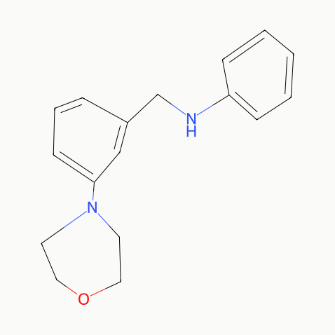 c1ccc(NCc2cccc(N3CCOCC3)c2)cc1